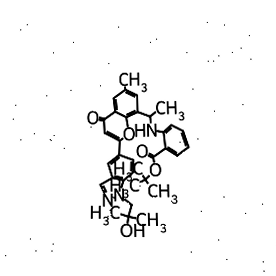 Cc1cc(C(C)Nc2ccccc2C(=O)OC(C)(C)C)c2oc(-c3ccc4c(cnn4CC(C)(C)O)c3)cc(=O)c2c1